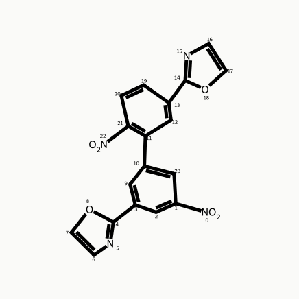 O=[N+]([O-])c1cc(-c2ncco2)cc(-c2cc(-c3ncco3)ccc2[N+](=O)[O-])c1